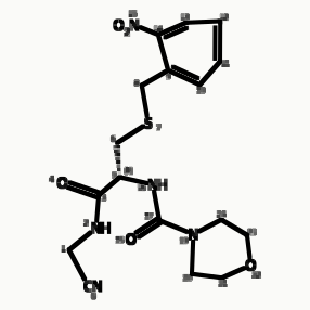 N#CCNC(=O)[C@H](CSCc1ccccc1[N+](=O)[O-])NC(=O)N1CCOCC1